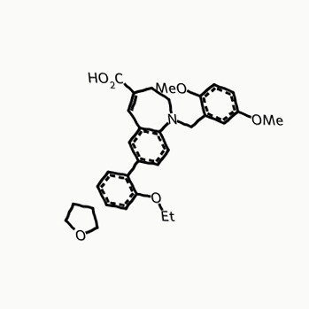 C1CCOC1.CCOc1ccccc1-c1ccc2c(c1)C=C(C(=O)O)CCN2Cc1cc(OC)ccc1OC